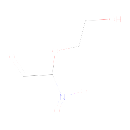 O=[C]C(OCCO)[N+](=O)[O-]